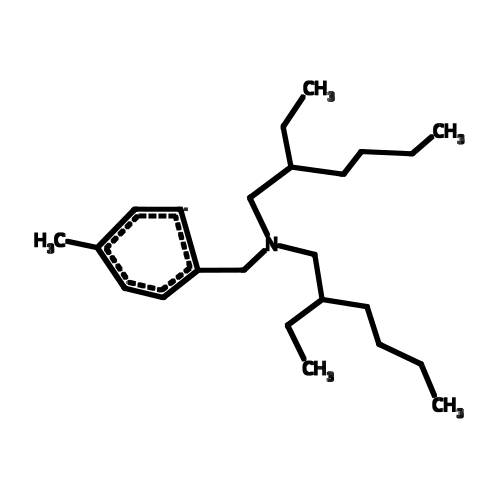 CCCCC(CC)CN(Cc1[c]cc(C)cc1)CC(CC)CCCC